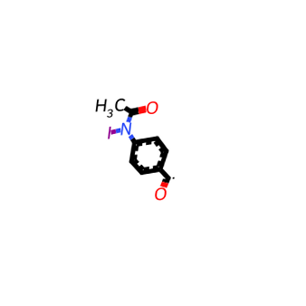 CC(=O)N(I)c1ccc([C]=O)cc1